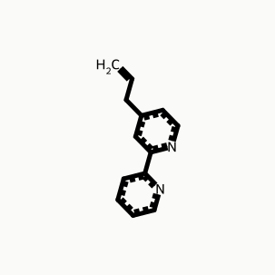 C=CCc1ccnc(-c2ccccn2)c1